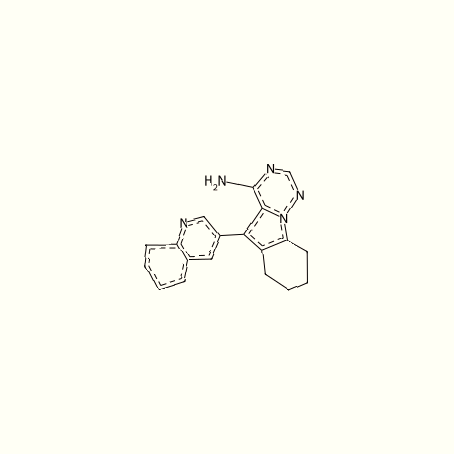 Nc1ncnn2c3c(c(-c4cnc5ccccc5c4)c12)CCCC3